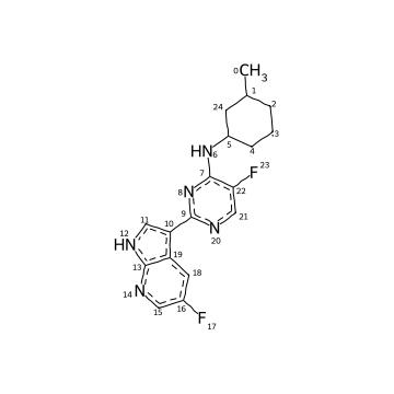 CC1C[CH]CC(Nc2nc(-c3c[nH]c4ncc(F)cc34)ncc2F)C1